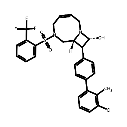 Cc1c(Cl)cccc1-c1ccc([C@@H]2[C@@H](O)N3C/C=C\CN(S(=O)(=O)c4ccccc4C(F)(F)F)C[C@@H]23)cc1